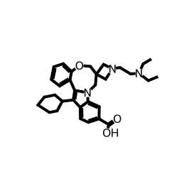 CCN(CC)CCN1CC2(COc3ccccc3-c3c(C4CCCCC4)c4ccc(C(=O)O)cc4n3C2)C1